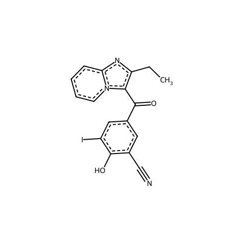 CCc1nc2ccccn2c1C(=O)c1cc(I)c(O)c(C#N)c1